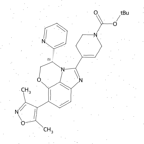 Cc1noc(C)c1-c1ccc2nc(C3=CCN(C(=O)OC(C)(C)C)CC3)n3c2c1OC[C@@H]3c1ccccn1